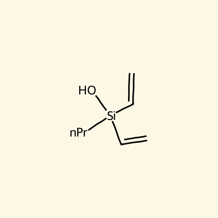 C=C[Si](O)(C=C)CCC